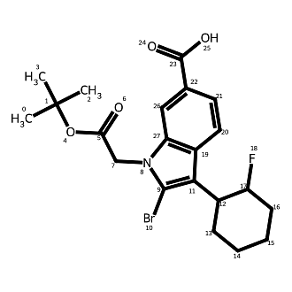 CC(C)(C)OC(=O)Cn1c(Br)c(C2CCCCC2F)c2ccc(C(=O)O)cc21